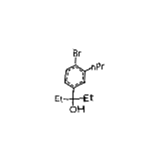 CCCc1cc(C(O)(CC)CC)ccc1Br